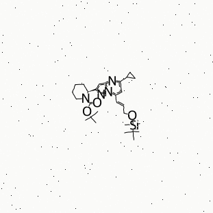 CC(C)(C)OC(=O)N1CCCC[C@H]1c1cc2nc(C3CC3)cc(/C=C/CO[Si](C)(C)C(C)(C)C)n2n1